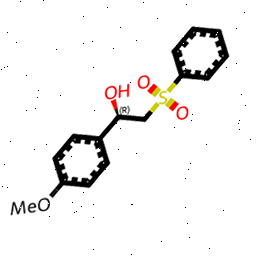 COc1ccc([C@@H](O)CS(=O)(=O)c2ccccc2)cc1